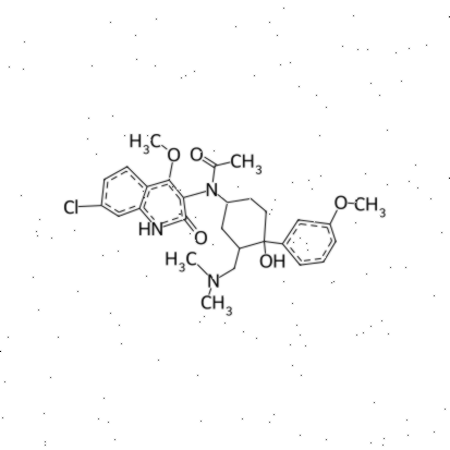 COc1cccc(C2(O)CCC(N(C(C)=O)c3c(OC)c4ccc(Cl)cc4[nH]c3=O)CC2CN(C)C)c1